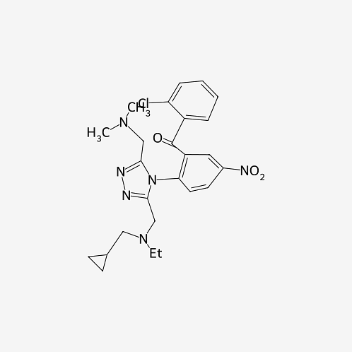 CCN(Cc1nnc(CN(C)C)n1-c1ccc([N+](=O)[O-])cc1C(=O)c1ccccc1Cl)CC1CC1